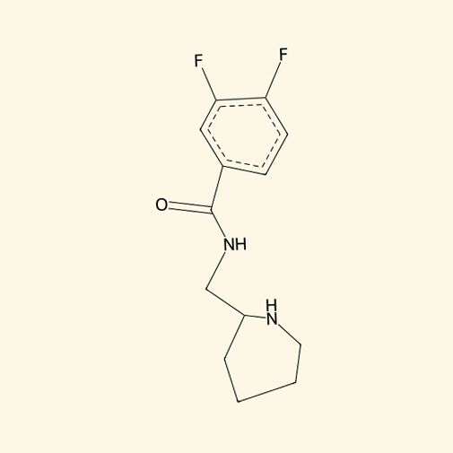 O=C(NCC1CCCCN1)c1ccc(F)c(F)c1